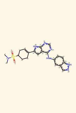 CN(C)S(=O)(=O)C1CC=C(c2cc3c(Nc4ccc5[nH]ncc5c4)ncnc3[nH]2)CC1